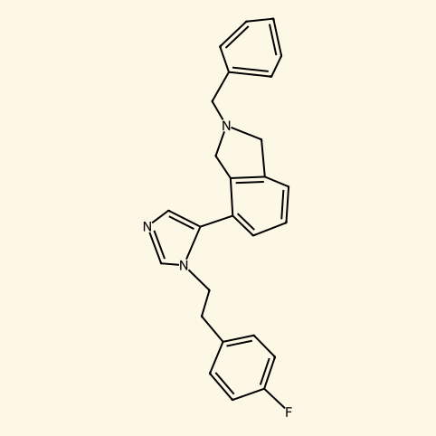 Fc1ccc(CCn2cncc2-c2cccc3c2CN(Cc2ccccc2)C3)cc1